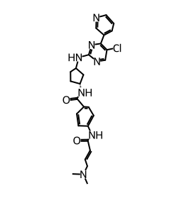 CN(C)C/C=C/C(=O)Nc1ccc(C(=O)N[C@@H]2CCC(Nc3ncc(Cl)c(-c4cccnc4)n3)C2)cc1